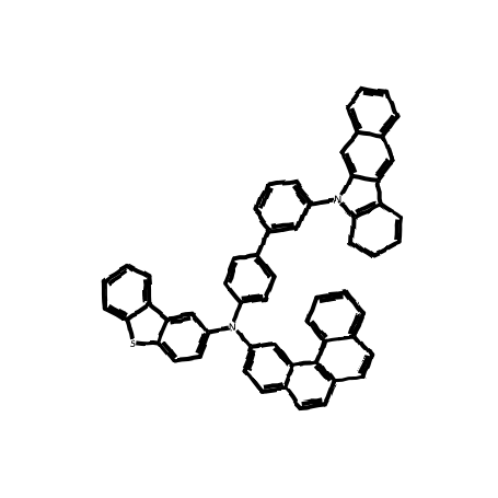 C1=Cc2c(n(-c3cccc(-c4ccc(N(c5ccc6sc7ccccc7c6c5)c5ccc6ccc7ccc8ccccc8c7c6c5)cc4)c3)c3cc4ccccc4cc23)CC1